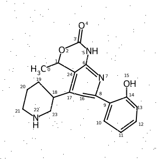 CC1OC(=O)Nc2nc(-c3ccccc3O)cc(C3CCCNC3)c21